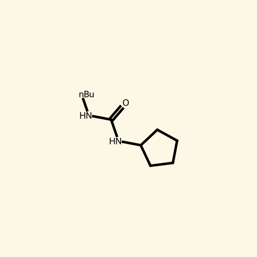 CCCCNC(=O)NC1CCCC1